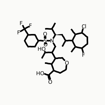 CC(O)C(CN([C@H](CC(C)C1C(C)C(F)CCC(Cl)C1C)C(C)C)S(=O)(=O)C1CCCC(C(F)(F)F)C1)C1COCCC(C(=O)O)C1C